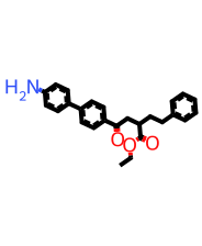 CCOC(=O)C(CCc1ccccc1)CC(=O)c1ccc(-c2ccc(N)cc2)cc1